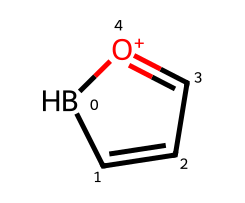 B1C=CC=[O+]1